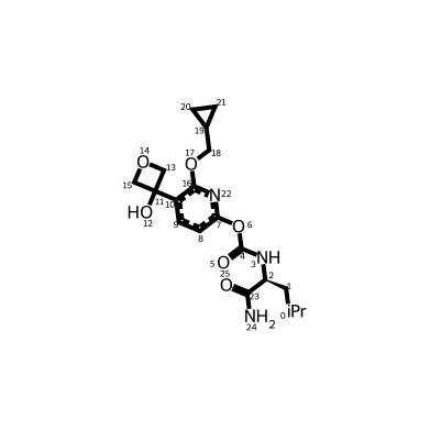 CC(C)C[C@H](NC(=O)Oc1ccc(C2(O)COC2)c(OCC2CC2)n1)C(N)=O